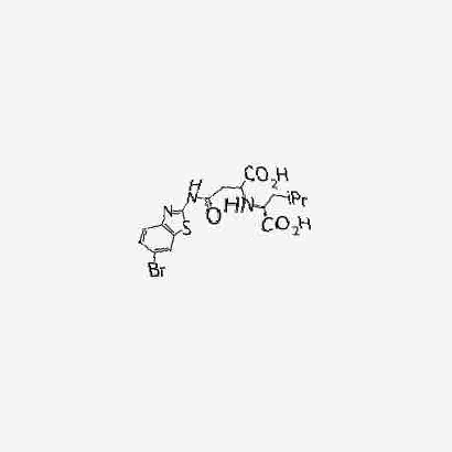 CC(C)C[C@H](NC(CC(=O)Nc1nc2ccc(Br)cc2s1)C(=O)O)C(=O)O